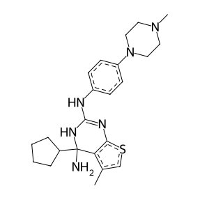 Cc1csc2c1C(N)(C1CCCC1)NC(Nc1ccc(N3CCN(C)CC3)cc1)=N2